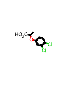 CC(Oc1ccc(Cl)c(Cl)c1)C(=O)O